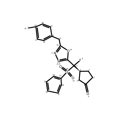 O=C1CC[C@H](C(F)(c2nnc(Cc3ccc(I)cc3)o2)S(=O)(=O)c2ccccc2)C1